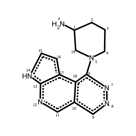 NC1CCCN(c2nncc3cnc4[nH]ccc4c23)C1